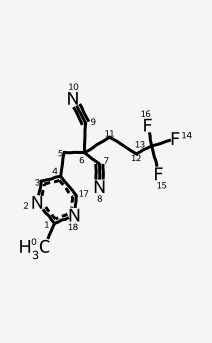 Cc1ncc(CC(C#N)(C#N)CCC(F)(F)F)cn1